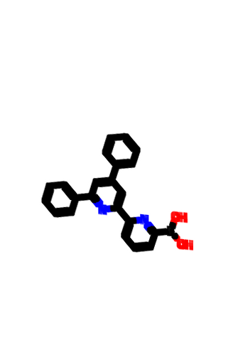 OB(O)c1cccc(-c2cc(-c3ccccc3)cc(-c3ccccc3)n2)n1